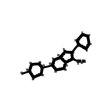 CCOC(=O)c1c(-c2ccccc2)nc2cc(-c3ccc(C)cc3)ccn12